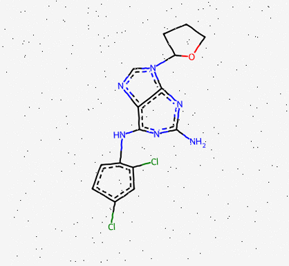 Nc1nc(Nc2ccc(Cl)cc2Cl)c2ncn(C3CCCO3)c2n1